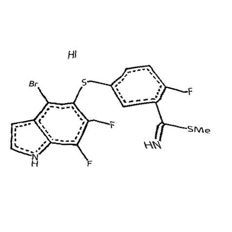 CSC(=N)c1cc(Sc2c(F)c(F)c3[nH]ccc3c2Br)ccc1F.I